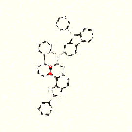 c1ccc(-c2nc3c(ccc4cc(N(c5ccc6c7ccccc7n(-c7ccccc7)c6c5)c5ccccc5-c5ccccc5)ccc43)o2)cc1